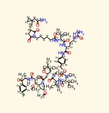 CC[C@H](C)[C@@H]([C@@H](CC(=O)N1C[C@H](OC)C[C@H]1[C@H](OC)[C@@H](C)C(=O)N[C@@H](C)C(=O)c1ccc(F)cc1)OC)N(C)C(=O)[C@@H](NC(=O)[C@H](C(C)C)N(C)C(=O)OCc1ccc(NC(=O)[C@H](CCCNC(N)=O)NC(=O)[C@@H](NC(=O)CCCCCN2C(=O)CC(SCC3(CC(N)=O)CC3)C2=O)C(C)C)cc1)C(C)C